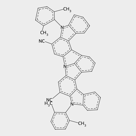 Cc1cccc(C)c1-n1c2ccccc2c2c3c4cccc5c6c7c8ccccc8n(-c8c(C)cccc8C)c7c(C#N)cc6n(c3cc(C#N)c21)c45